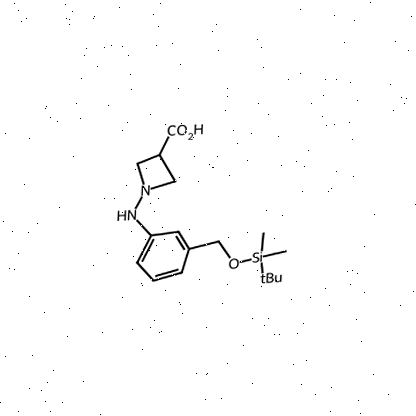 CC(C)(C)[Si](C)(C)OCc1cccc(NN2CC(C(=O)O)C2)c1